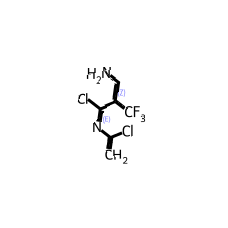 C=C(Cl)/N=C(Cl)\C(=C/N)C(F)(F)F